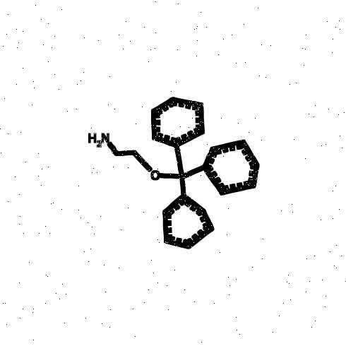 NCCOC(c1ccccc1)(c1ccccc1)c1ccccc1